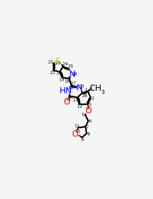 Cc1cc(OCCC2CCOC2)cc2c(=O)[nH]c(-c3cc4ccsc4cn3)nc12